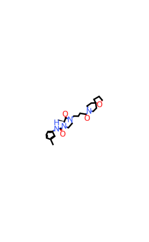 Cc1cccc(NC(=O)N2CCN(CCCC(=O)N3CCC4(CCCO4)CC3)C(=O)[C@@H]2C)c1